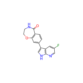 O=C1NCCOc2cc(-c3c[nH]c4ncc(F)cc34)ccc21